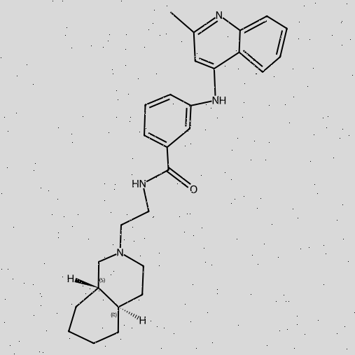 Cc1cc(Nc2cccc(C(=O)NCCN3CC[C@H]4CCCC[C@@H]4C3)c2)c2ccccc2n1